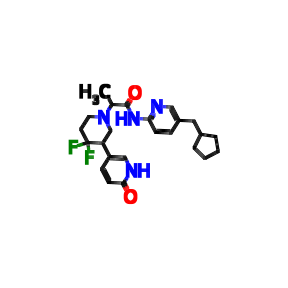 CC(C(=O)Nc1ccc(CC2CCCC2)cn1)N1CCC(F)(F)C(c2ccc(=O)[nH]c2)C1